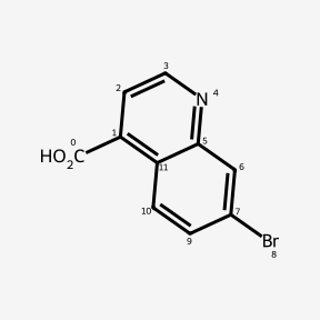 O=C(O)c1ccnc2cc(Br)ccc12